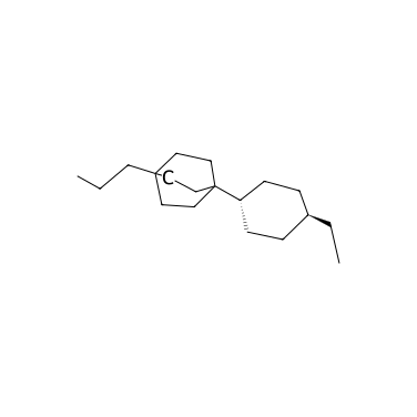 CCCC12CCC([C@H]3CC[C@H](CC)CC3)(CC1)CC2